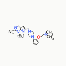 CN(C)CCOc1ccccc1N1CCN(Cc2cc3cnc(C#N)nc3n2CC(C)(C)C)CC1